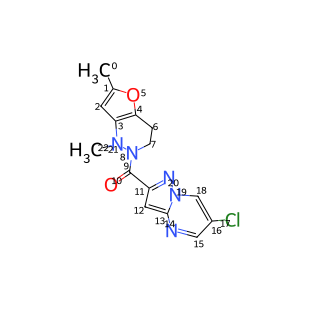 Cc1cc2c(o1)CCN(C(=O)c1cc3ncc(Cl)cn3n1)N2C